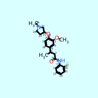 COc1cc(C(C)CC(=O)Nc2ccccc2F)ccc1OC1CCN(C)C1